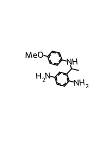 COc1ccc(NC(C)c2cc(N)ccc2N)cc1